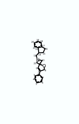 C1=C(c2ccccc2)COC12CN(CC1CCc3ccccc31)C2